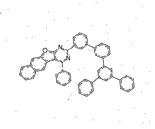 c1ccc(-c2cc(-c3ccccc3)cc(-c3cccc(-c4cccc(-c5nc(-c6ccccc6)c6c(n5)oc5cc7ccccc7cc56)c4)c3)c2)cc1